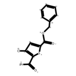 CC(C)C(=O)c1sc(C(=O)OCc2ccccc2)cc1Cl